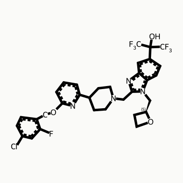 OC(c1ccc2c(c1)nc(CN1CCC(c3cccc(OCc4ccc(Cl)cc4F)n3)CC1)n2C[C@@H]1CCO1)(C(F)(F)F)C(F)(F)F